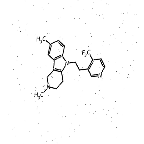 Cc1ccc2c(c1)c1c(n2CCc2cnccc2C(F)(F)F)CCN(C)C1